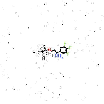 CC(C)(C)[Si](C)(C)OCCC(N)c1cc(F)c(F)c(F)c1